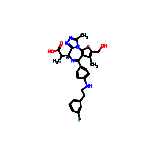 Cc1c(CO)sc2c1C(c1ccc(NCCc3cccc(F)c3)cc1)=N[C@@H](C(C)C(=O)O)c1nnc(C)n1-2